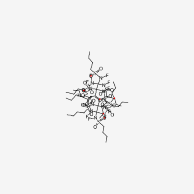 CCCCS(=O)(=O)N(F)C(C=C(C(=O)O)C(N(F)S(=O)(=O)CCCC)(N(F)S(=O)(=O)CCCC)C(N(F)S(=O)(=O)CCCC)(N(F)S(=O)(=O)CCCC)N(F)S(=O)(=O)CCCC)(N(F)S(=O)(=O)CCCC)C(N(F)S(=O)(=O)CCCC)(N(F)S(=O)(=O)CCCC)N(F)S(=O)(=O)CCCC